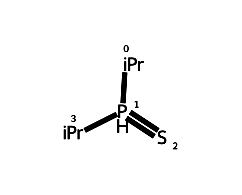 CC(C)[PH](=S)C(C)C